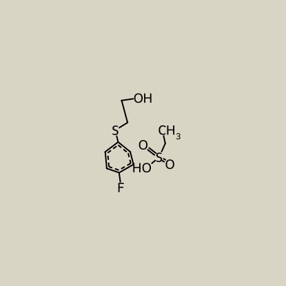 CCS(=O)(=O)O.OCCSc1ccc(F)cc1